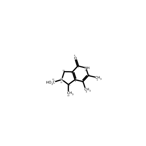 Cc1[nH]c(=O)c2c(c1C)C(C)N(C(=O)O)C2